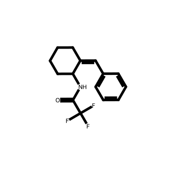 O=C(NC1CCCCC1=Cc1ccccc1)C(F)(F)F